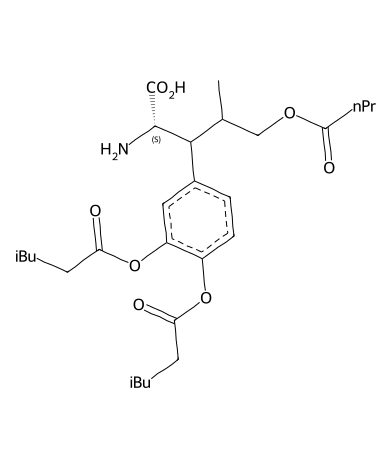 CCCC(=O)OCC(C)C(c1ccc(OC(=O)CC(C)CC)c(OC(=O)CC(C)CC)c1)[C@H](N)C(=O)O